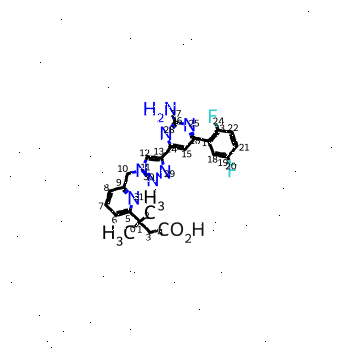 CC(C)(CC(=O)O)c1cccc(Cn2cc(-c3cc(-c4cc(F)ccc4F)nc(N)n3)nn2)n1